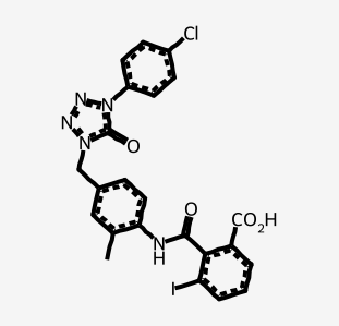 Cc1cc(Cn2nnn(-c3ccc(Cl)cc3)c2=O)ccc1NC(=O)c1c(I)cccc1C(=O)O